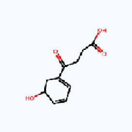 O=C(O)CCC(=O)C1=CC=CC(O)C1